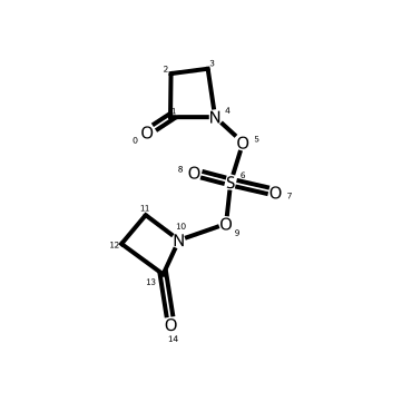 O=C1CCN1OS(=O)(=O)ON1CCC1=O